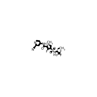 CC[C@@H](NS(=O)(=O)c1cn(C)c(C(=O)Nc2ccnc(C#N)c2)c1F)C(F)(F)F